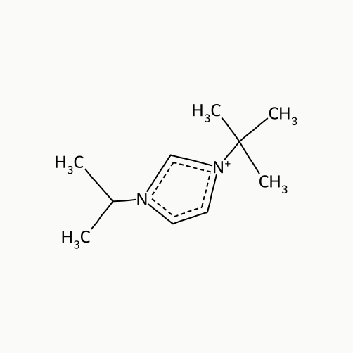 CC(C)n1cc[n+](C(C)(C)C)c1